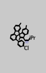 CC1=C(/C=C\C(C)C)c2ccc(C)cc2C12c1cc(C)ccc1-c1cccc(-c3ccc(Cl)cc3)c12